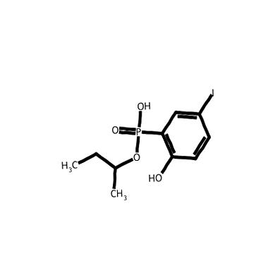 CCC(C)OP(=O)(O)c1cc(I)ccc1O